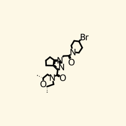 C[C@@H]1CN(C(=O)c2nn(CC(=O)N3CCC(Br)CC3)c3c2CCC3)C[C@H](C)O1